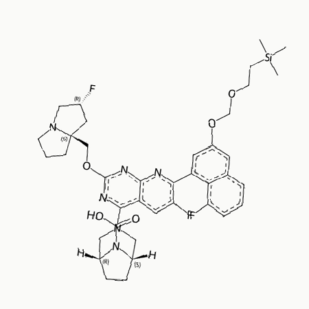 C[Si](C)(C)CCOCOc1cc(-c2nc3nc(OC[C@@]45CCCN4C[C@H](F)C5)nc(N4C[C@H]5CC[C@@H](C4)N5C(=O)O)c3cc2F)c2c(F)cccc2c1